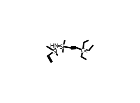 C=C[Si](C)(C)N[Si](C)(C)C#[C][Ge]([CH2]C)([CH2]C)[CH2]C